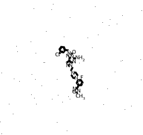 Cc1nc(-c2ccc(F)c(N3CCN(CCn4ncc5c4nc(N)n4c(=O)n(Cc6cccc(Cl)c6)nc54)CC3)c2)no1